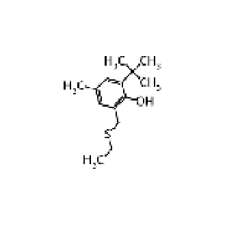 CCSCc1cc(C)cc(C(C)(C)C)c1O